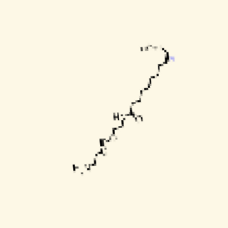 CCCCCCCC/C=C\CCCCCCCC(=O)NCCOPOCCN